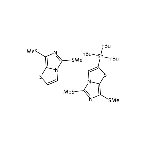 CCC[CH2][Sn]([CH2]CCC)([CH2]CCC)[c]1cn2c(SC)nc(SC)c2s1.CSc1nc(SC)n2ccsc12